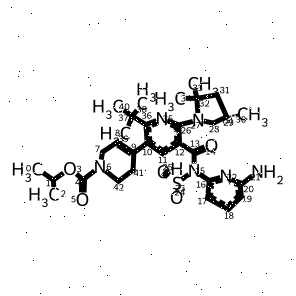 CC(C)OC(=O)N1CC=C(c2cc(C(=O)N(c3cccc(N)n3)[SH](=O)=O)c(N3C[C@@H](C)CC3(C)C)nc2C(C)(C)C)CC1